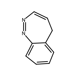 C1=CN=Nc2ccccc2C1